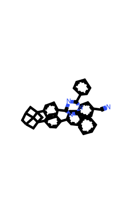 N#Cc1ccc2cc(-c3ccc(C45CC6CC7CC(c8ccc(-c9nc(-c%10ccccc%10)nc(-c%10ccccc%10)n9)cc8)(C4)C675)cc3)ccc2c1